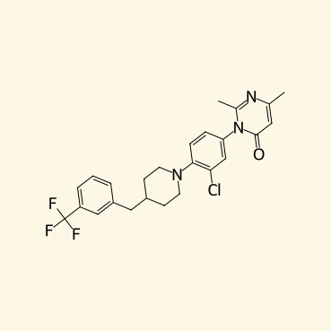 Cc1cc(=O)n(-c2ccc(N3CCC(Cc4cccc(C(F)(F)F)c4)CC3)c(Cl)c2)c(C)n1